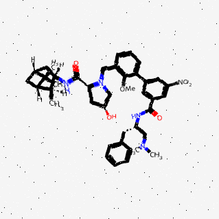 COc1c(CN2C[C@@H](O)C[C@H]2C(=O)N[C@H]2C[C@H]3C[C@@H]([C@@H]2C)C3(C)C)cccc1-c1cc(C(=O)N[C@@H](Cc2ccccc2)CN(C)C)cc([N+](=O)[O-])c1